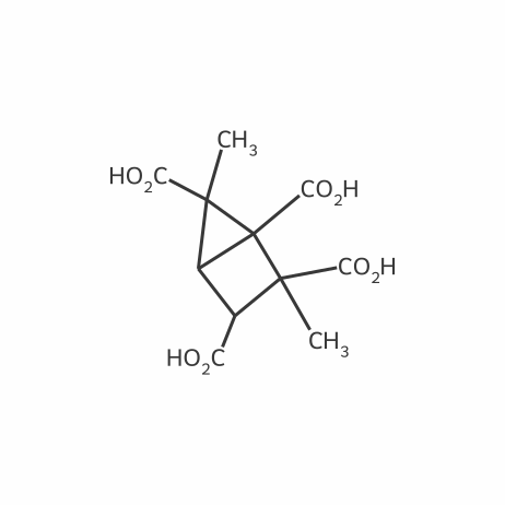 CC1(C(=O)O)C(C(=O)O)C2C(C)(C(=O)O)C21C(=O)O